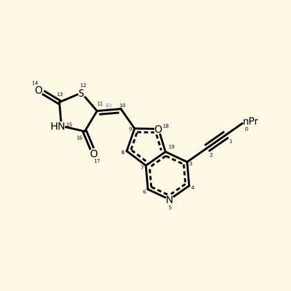 CCCC#Cc1cncc2cc(/C=C3/SC(=O)NC3=O)oc12